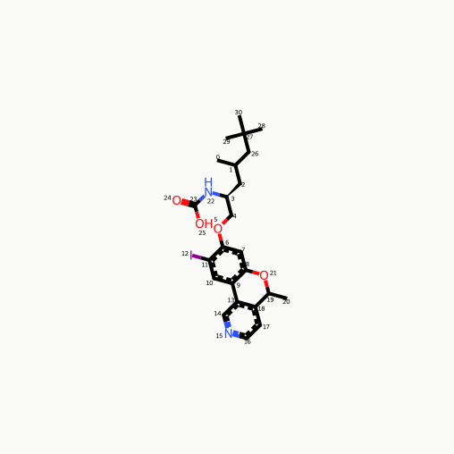 CC(C[C@@H](COc1cc2c(cc1I)-c1cnccc1C(C)O2)NC(=O)O)CC(C)(C)C